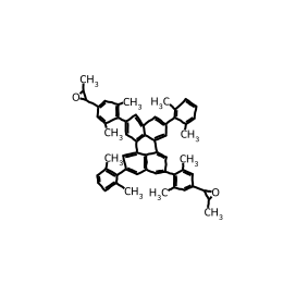 Cc1cccc(C)c1-c1cc2cc(-c3c(C)cc(C4OC4C)cc3C)cc3c4cc(-c5c(C)cccc5C)cc5cc(-c6c(C)cc(C7OC7C)cc6C)cc(c(c1)c23)c54